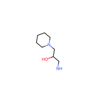 [NH]CC(O)CN1CCCCC1